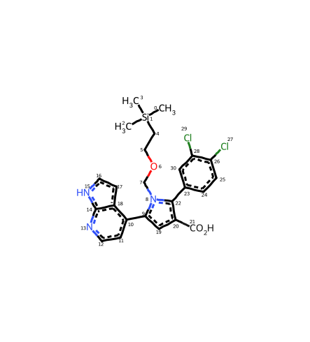 C[Si](C)(C)CCOCn1c(-c2ccnc3[nH]ccc23)cc(C(=O)O)c1-c1ccc(Cl)c(Cl)c1